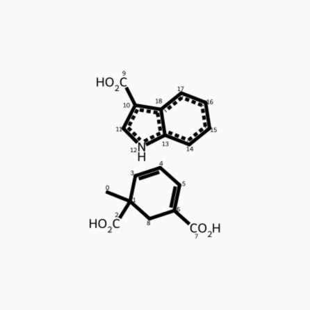 CC1(C(=O)O)C=CC=C(C(=O)O)C1.O=C(O)c1c[nH]c2ccccc12